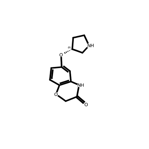 O=C1COc2ccc(O[C@@H]3CCNC3)cc2N1